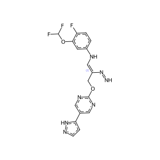 N=N/C(=C\Nc1ccc(F)c(OC(F)F)c1)COc1ncc(-c2ccn[nH]2)cn1